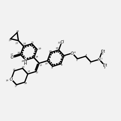 CCN(CC)CCCOc1ccc(/C(=C/C2CCOCC2)c2ccc(C3CC3)c(=O)[nH]2)cc1Cl